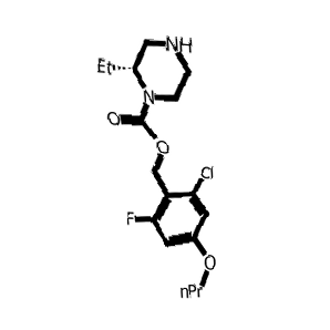 CCCOc1cc(F)c(COC(=O)N2CCNC[C@H]2CC)c(Cl)c1